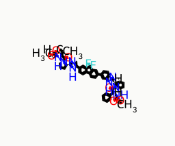 COC(=O)NC(C(=O)N1CCC[C@H]1c1ncc(-c2ccc3c(c2)C(F)(F)c2cc(-c4ccc5nc([C@@H]6[C@H]7CC[C@H](C7)N6C(=O)[C@H](NC(=O)OC)c6ccccc6)[nH]c5c4)ccc2-3)[nH]1)C(C)C